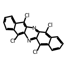 Clc1c2ccccc2c(Cl)c2nc3c(Cl)c4ccccc4c(Cl)c3nc12